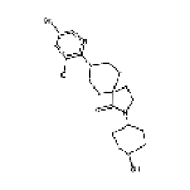 O=C1N([C@H]2CC[C@H](O)CC2)CCC12CCN(c1ncc(Br)cc1Cl)CC2